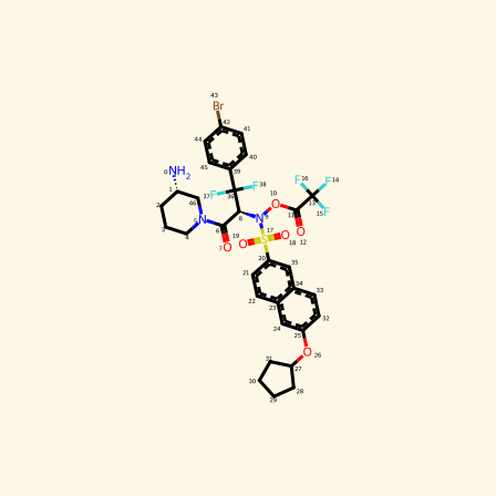 N[C@H]1CCCN(C(=O)[C@H](N(OC(=O)C(F)(F)F)S(=O)(=O)c2ccc3cc(OC4CCCC4)ccc3c2)C(F)(F)c2ccc(Br)cc2)C1